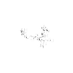 CSc1ccc(OC(F)F)c(-c2nn(CC(=O)N3CCC(CN4CCN(C(C)=O)CC4)CC3)cc2NC(=O)c2cnn3cccnc23)c1